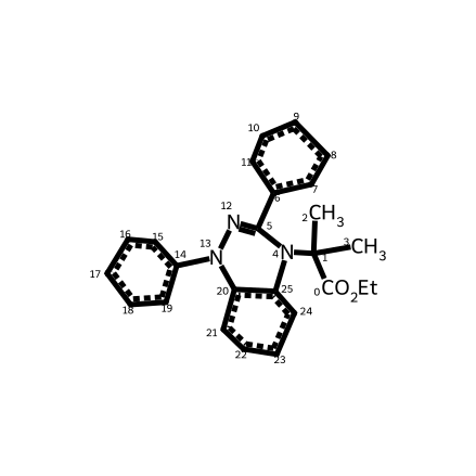 CCOC(=O)C(C)(C)N1C(c2ccccc2)=NN(c2ccccc2)c2ccccc21